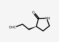 O=CCC[C@@H]1CCNC1=O